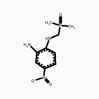 CP(C)(=O)CNc1ccc([N+](=O)[O-])cc1N